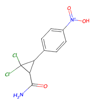 NC(=O)C1C(c2ccc([N+](=O)O)cc2)C1(Cl)Cl